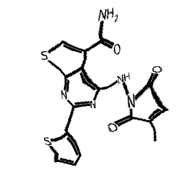 CC1=CC(=O)N(Nc2nc(-c3cccs3)nc3scc(C(N)=O)c23)C1=O